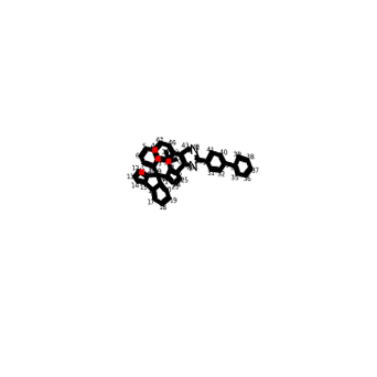 CC1(C)c2ccccc2C2(c3ccccc3-c3ccccc32)c2cccc(-c3nc(-c4ccc(-c5ccccc5)cc4)ncc3-c3ccccc3)c21